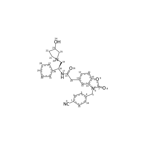 N#Cc1ccc(Cn2c(=O)oc3ccc(CC(=O)N[C@H](CN4CCC(O)C4)c4ccccc4)cc32)cc1